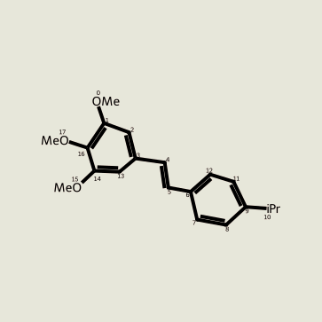 COc1cc(C=Cc2ccc(C(C)C)cc2)cc(OC)c1OC